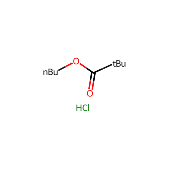 CCCCOC(=O)C(C)(C)C.Cl